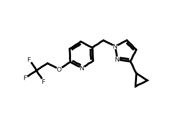 FC(F)(F)COc1ccc(Cn2ccc(C3CC3)n2)cn1